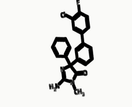 CN1C(=O)C(c2ccccc2)(c2cccc(-c3ccc(F)c(Cl)c3)c2)N=C1N